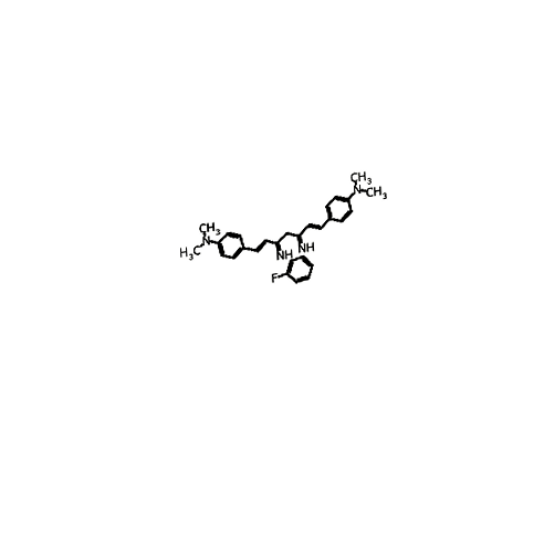 CN(C)c1ccc(C=CC(=N)CC(=N)C=Cc2ccc(N(C)C)cc2)cc1.Fc1ccccc1